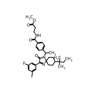 CCC(C)(C)C1CCC2(CC1)N=C(c1cc(F)cc(F)c1)C(=O)N2C(C)c1ccc(C(=O)NCCC(=O)OC)cc1